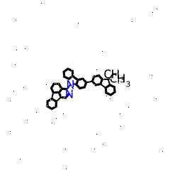 CC1(C)c2ccccc2-c2cc(-c3ccc4c(c3)c3ccccc3n4-c3ncc4c5c(cccc35)-c3ccccc3-4)ccc21